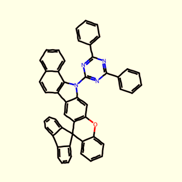 c1ccc(-c2nc(-c3ccccc3)nc(-n3c4cc5c(cc4c4ccc6ccccc6c43)C3(c4ccccc4O5)c4ccccc4-c4ccccc43)n2)cc1